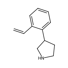 C=Cc1ccccc1C1CCNC1